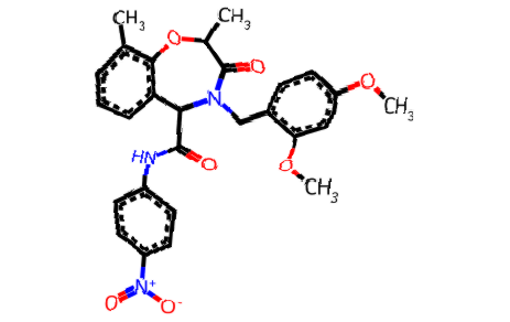 COc1ccc(CN2C(=O)C(C)Oc3c(C)cccc3C2C(=O)Nc2ccc([N+](=O)[O-])cc2)c(OC)c1